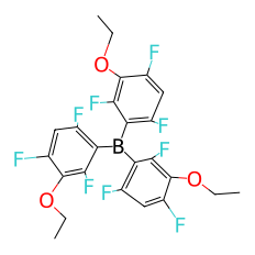 CCOc1c(F)cc(F)c(B(c2c(F)cc(F)c(OCC)c2F)c2c(F)cc(F)c(OCC)c2F)c1F